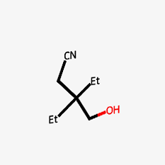 CCC(CC)(CO)CC#N